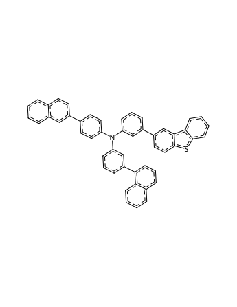 c1cc(-c2ccc3sc4ccccc4c3c2)cc(N(c2ccc(-c3ccc4ccccc4c3)cc2)c2cccc(-c3cccc4ccccc34)c2)c1